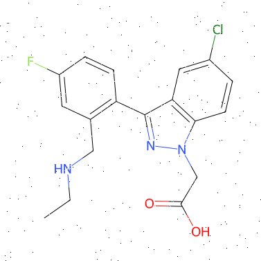 CCNCc1cc(F)ccc1-c1nn(CC(=O)O)c2ccc(Cl)cc12